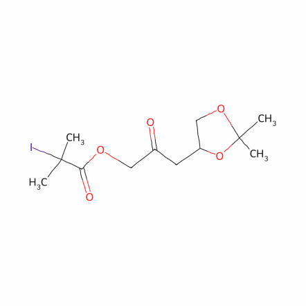 CC1(C)OCC(CC(=O)COC(=O)C(C)(C)I)O1